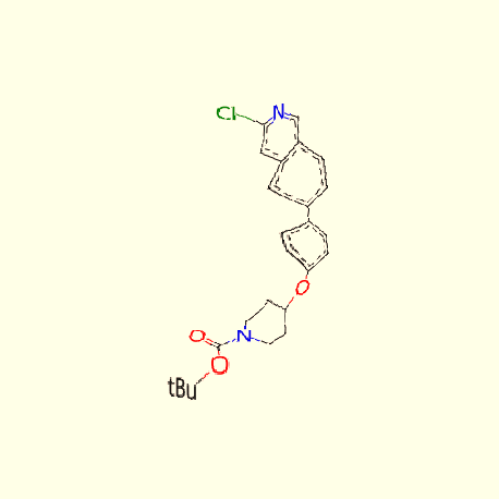 CC(C)(C)OC(=O)N1CCC(Oc2ccc(-c3ccc4cnc(Cl)cc4c3)cc2)CC1